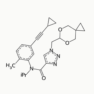 Cc1ccc(C#CC2CC2)cc1N(C(=O)c1cn(CC2OCC3(CC3)CO2)nn1)C(C)C